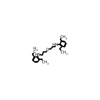 CCc1cccc(CC)c1NCCCOCCCNc1c(CC)cccc1CC